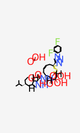 CC(C)C[C@@H]1CCO[C@@H]2[C@H](CN[C@@H]2C(=O)N[C@H]2[C@H]3O[C@H](S[C@H](c4cn(-c5ccc(F)cc5F)nn4)CC=C[C@H]2C)[C@H](O)[C@@H](O)[C@H]3O)C1.O=CO